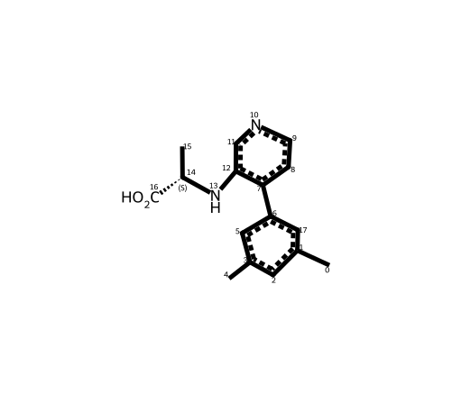 Cc1cc(C)cc(-c2ccncc2N[C@@H](C)C(=O)O)c1